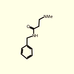 CNCCC(=O)NCc1ccccc1